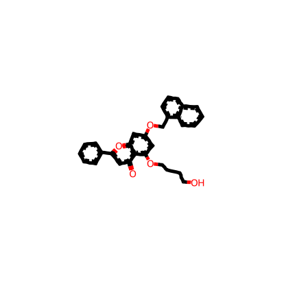 O=c1cc(-c2ccccc2)oc2cc(OCc3cccc4ccccc34)cc(OCCCCO)c12